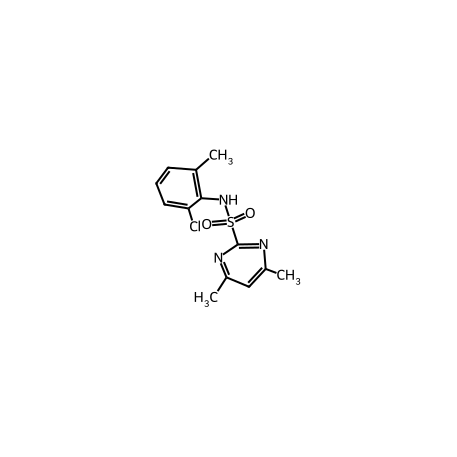 Cc1cc(C)nc(S(=O)(=O)Nc2c(C)cccc2Cl)n1